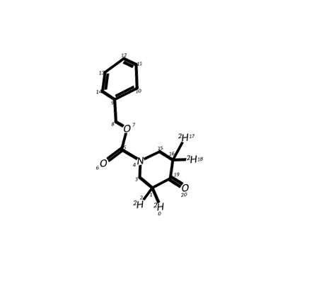 [2H]C1([2H])CN(C(=O)OCc2ccccc2)CC([2H])([2H])C1=O